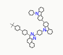 CC(C)(C)c1ccc(-c2ccc(-c3nc(-c4ccc(-n5c6ccccc6c6ccc(-c7ccc8c(c7)c7ccccc7n8-c7ccccc7)cc65)cc4)nc4c3ccc3ccccc34)cc2)cc1